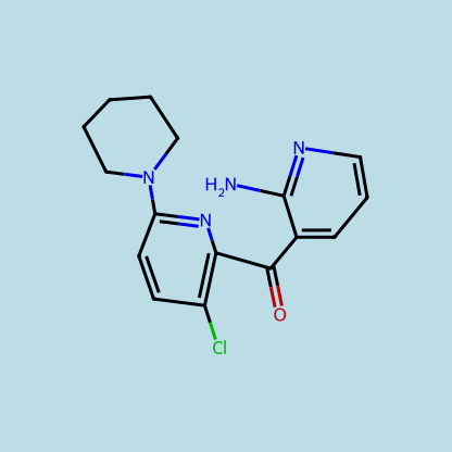 Nc1ncccc1C(=O)c1nc(N2CCCCC2)ccc1Cl